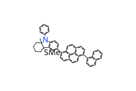 CSC12CCCCC1(C)N(c1ccccc1)c1ccc(-c3ccc4ccc5c(-c6cccc7ccccc67)ccc6ccc3c4c65)cc12